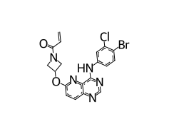 C=CC(=O)N1CC(Oc2ccc3ncnc(Nc4ccc(Br)c(Cl)c4)c3n2)C1